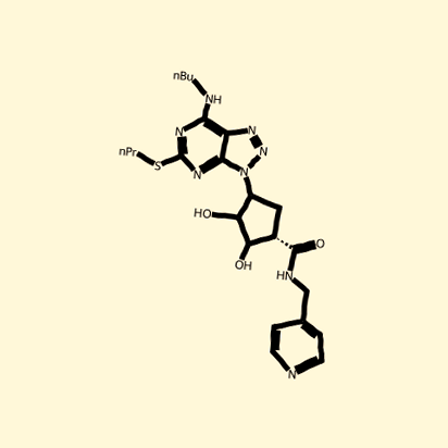 CCCCNc1nc(SCCC)nc2c1nnn2C1C[C@H](C(=O)NCc2ccncc2)C(O)C1O